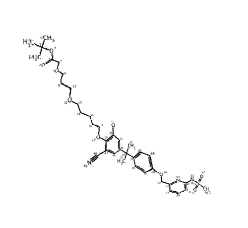 CC(C)(C)OC(=O)COCCCOCCCCCOc1c(Cl)cc(C(C)(C)c2ccc(OCc3ccnc(NS(C)(=O)=O)n3)cc2)cc1C#N